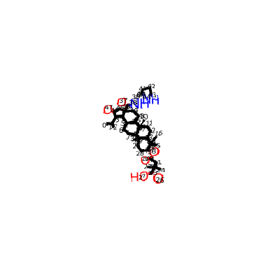 CC(C)C1=C2C3CCC4[C@@](C)(CCC5C(C)(C)[C@@H](OC(=O)CC(C)(C)C(=O)O)CC[C@@]54C)C3CCC2(C(=O)NC[C@@H]2CCCN2)CC1=O